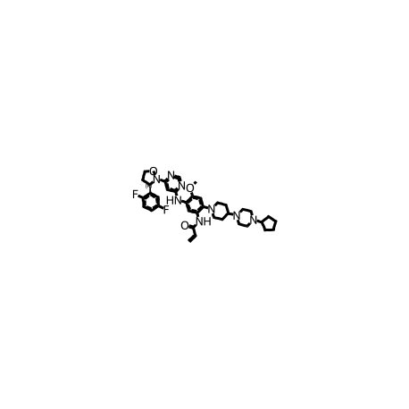 C=CC(=O)Nc1cc(Nc2cc(N3OCC[C@@H]3c3cc(F)ccc3F)ncn2)c(OC)cc1N1CCC(N2CCN(C3CCCC3)CC2)CC1